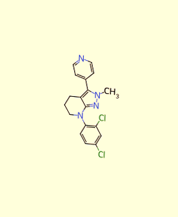 Cn1nc2c(c1-c1ccncc1)CCCN2c1ccc(Cl)cc1Cl